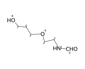 O=CNCCOCCCO